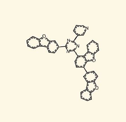 c1cncc(-c2nc(-c3ccc4c(c3)oc3ccccc34)nc(-c3ccc(-c4ccc5oc6ccccc6c5c4)c4oc5ccccc5c34)n2)c1